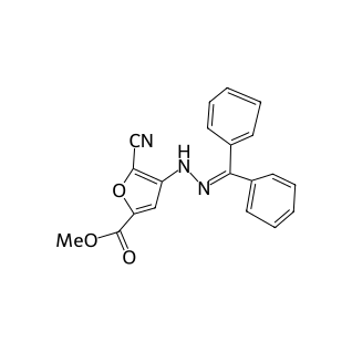 COC(=O)c1cc(NN=C(c2ccccc2)c2ccccc2)c(C#N)o1